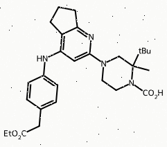 CCOC(=O)Cc1ccc(Nc2cc(N3CCN(C(=O)O)C(C)(C(C)(C)C)C3)nc3c2CCC3)cc1